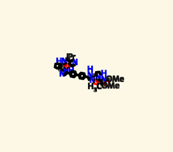 COC(=O)N[C@H](C(=O)N1CCC[C@H]1c1ncc(-c2ccc(-c3ccc(-c4cnc([C@H]5C6CCC(C6)[C@@H]5C(=O)N[C@H](c5cccnc5)C(C)C)[nH]4)cc3)cc2)[nH]1)[C@@H](C)OC